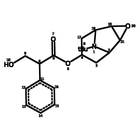 CC(C)(C)N1C2CC(OC(=O)C(CO)c3ccccc3)CC1C1OC12